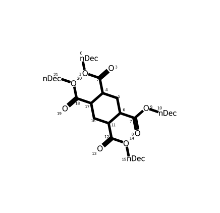 CCCCCCCCCCOC(=O)C1CC(C(=O)OCCCCCCCCCC)C(C(=O)OCCCCCCCCCC)CC1C(=O)OCCCCCCCCCC